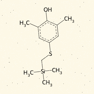 Cc1cc(SC[Si](C)(C)C)cc(C)c1O